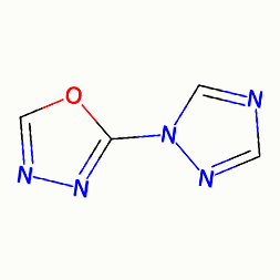 c1ncn(-c2nnco2)n1